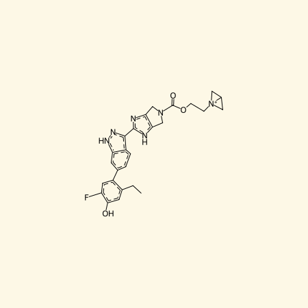 CCc1cc(O)c(F)cc1-c1ccc2c(-c3nc4c([nH]3)CN(C(=O)OCC[N+]35CC3C5)C4)n[nH]c2c1